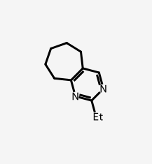 CCc1ncc2c(n1)CCCCC2